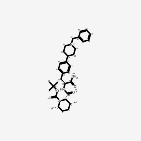 C[C@@H]1CC[C@H](C)N(C(=O)OC(C)(C)C)[C@@H]1C(=O)N[C@@H](Cc1ccc(C2CCN(Cc3ccccc3)CC2)cc1)C(N)=O